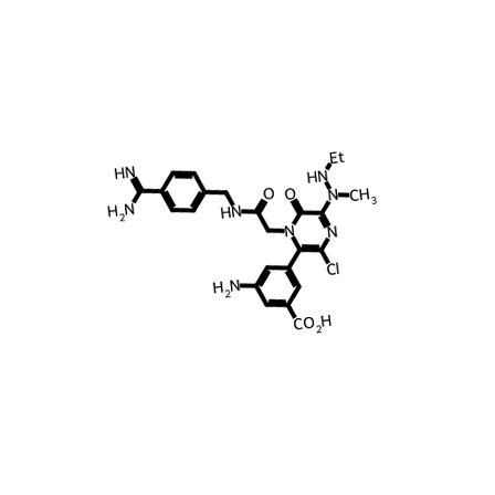 CCNN(C)c1nc(Cl)c(-c2cc(N)cc(C(=O)O)c2)n(CC(=O)NCc2ccc(C(=N)N)cc2)c1=O